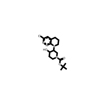 CC(C)(C)OC(=O)N1CCC(O)C(N2CCCc3cc(Cl)nnc32)C1